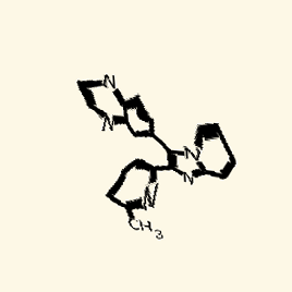 Cc1cccc(-c2nc3ccccn3c2-c2ccc3nccnc3c2)n1